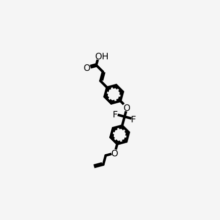 C=CCOc1ccc(C(F)(F)Oc2ccc(C=CC(=O)O)cc2)cc1